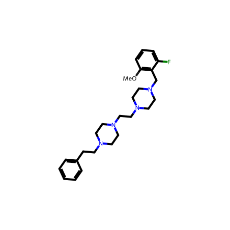 COc1cccc(F)c1CN1CCN(CCN2CCN(CCc3ccccc3)CC2)CC1